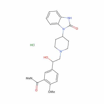 CNC(=O)c1cc(C(O)CN2CCC(n3c(=O)[nH]c4ccccc43)CC2)ccc1OC.Cl